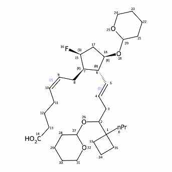 CCCC1(C(C/C=C/[C@@H]2[C@@H](C/C=C\CCCC(=O)O)[C@@H](F)C[C@H]2OC2CCCCO2)OC2CCCCO2)CCC1